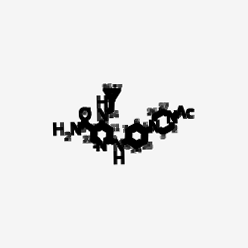 CC(=O)N1CCN(c2ccc(Nc3cc(NCC4CC4)c(C(N)=O)cn3)cc2)CC1